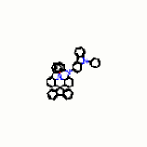 c1ccc(N(c2ccc3c(c2)c2ccccc2n3-c2ccccc2)c2cccc3c2-n2c4ccccc4c4cccc(c42)C32c3ccccc3-c3ccccc32)cc1